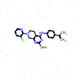 C=C(C)c1ccc(Nc2nc(SC)nc3c2CCN(c2ncccc2Cl)C3)cc1